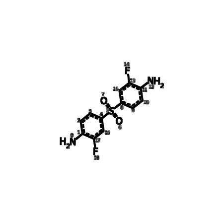 Nc1ccc(S(=O)(=O)c2ccc(N)c(F)c2)cc1F